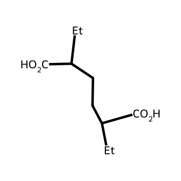 [CH2]CC(CCC(CC)C(=O)O)C(=O)O